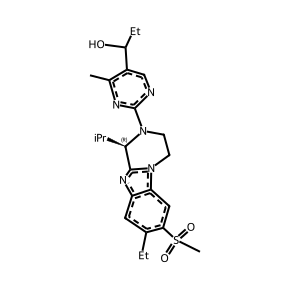 CCc1cc2nc3n(c2cc1S(C)(=O)=O)CCN(c1ncc(C(O)CC)c(C)n1)[C@@H]3C(C)C